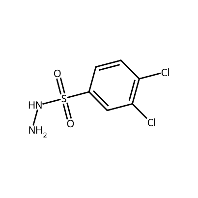 NNS(=O)(=O)c1ccc(Cl)c(Cl)c1